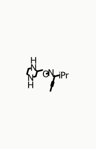 CC#C/C(=N\OCC1CNCCN1)C(C)C